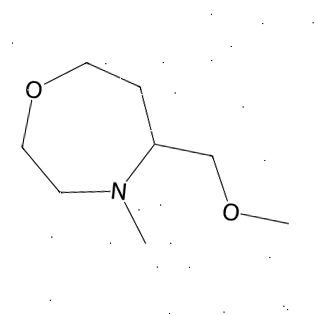 COCC1CCOCCN1C